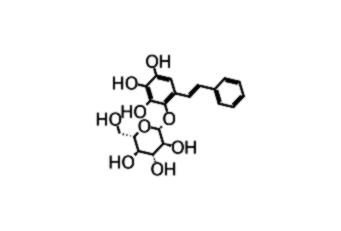 OC[C@@H]1O[C@H](Oc2c(/C=C/c3ccccc3)cc(O)c(O)c2O)[C@@H](O)[C@H](O)[C@H]1O